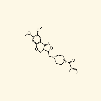 COc1cc2c(cc1OC)C1=NOC(CN3CCN(C(=O)/C(C)=C/I)CC3)C1CO2